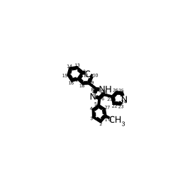 Cc1cccc(-c2nc(-c3ccc4ccccc4c3)[nH]c2-c2ccncc2)c1